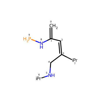 C=C(/C=C(\CNC(C)C)C(C)C)NP